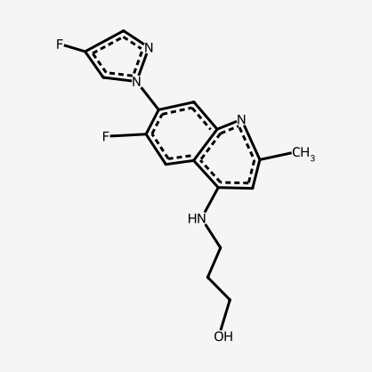 Cc1cc(NCCCO)c2cc(F)c(-n3cc(F)cn3)cc2n1